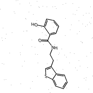 O=C(NCCc1csc2ccccc12)c1ccccc1O